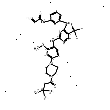 C=CC(=O)Nc1cccc(Nc2nc(Nc3ccc(N4CCN(C(=O)CC(C)(C)C)CC4)nc3OC)ncc2C(F)(F)F)c1